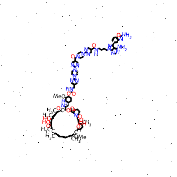 CO[C@H]1C[C@@H]2CC[C@@H](C)[C@@](O)(O2)C(=O)C(=O)N2CCCC[C@H]2C(=O)O[C@H]([C@H](N)C[C@@H]2CC[C@@H](OC(=O)NCc3cnc(N4CCN(c5ncc(C(=O)N6CCN(c7ncc(C(=O)NCCCCn8nc(-c9ccc%10oc(N)nc%10c9)c9c(N)ncnc98)cn7)CC6)cn5)CC4)nc3)[C@H](OC)C2)CC(=O)[C@H](C)/C=C(\C)[C@@H](O)[C@@H](O)C(=O)[C@H](C)C[C@H](C)/C=C/C=C/C=C/1C